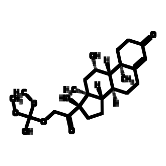 COC(O)(OC)OCC(=O)[C@@]1(O)CC[C@H]2[C@@H]3CCC4=CC(=O)CC[C@]4(C)[C@H]3[C@@H](O)C[C@@]21C